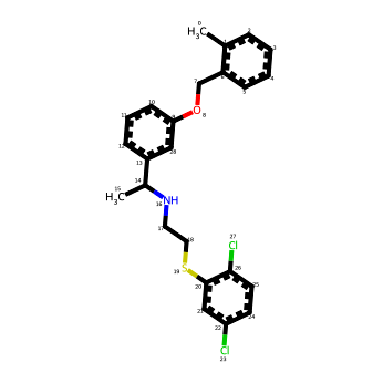 Cc1ccccc1COc1cccc(C(C)NCCSc2cc(Cl)ccc2Cl)c1